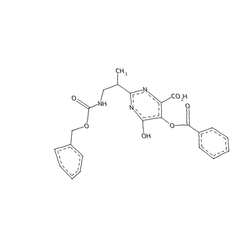 CC(CNC(=O)OCc1ccccc1)c1nc(O)c(OC(=O)c2ccccc2)c(C(=O)O)n1